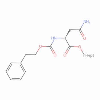 CCCCCCCOC(=O)[C@H](CC(N)=O)NC(=O)OCCc1ccccc1